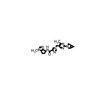 Cc1nc(N2CC3CC3C2)ncc1Cn1cnc(C(=O)N[C@@H]2CCc3c2ncn3C)c1